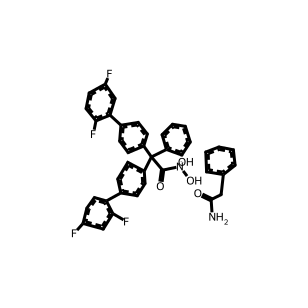 NC(=O)Cc1ccccc1.O=C(N(O)O)C(c1ccccc1)(c1ccc(-c2ccc(F)cc2F)cc1)c1ccc(-c2cc(F)ccc2F)cc1